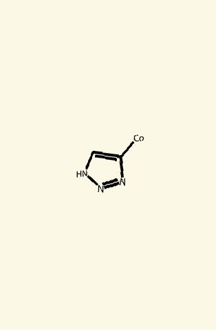 [Co][c]1c[nH]nn1